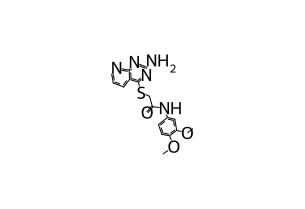 COc1ccc(NC(=O)CSc2nc(N)nc3ncccc23)cc1OC